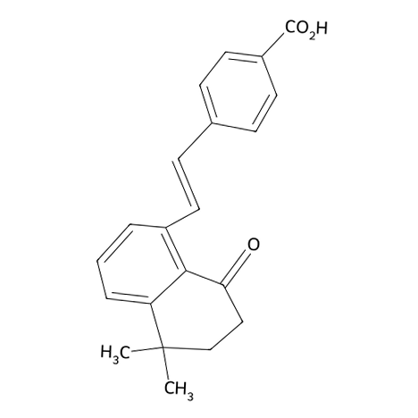 CC1(C)CCC(=O)c2c(/C=C/c3ccc(C(=O)O)cc3)cccc21